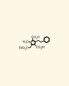 CCOC(=O)Cc1c(C(=O)OCC)c(CCc2ccccc2)c(C(=O)O)n1C